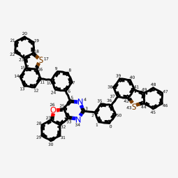 c1cc(-c2nc(-c3cccc(-c4cccc5c4sc4ccccc45)c3)c3oc4ccccc4c3n2)cc(-c2cccc3c2sc2ccccc23)c1